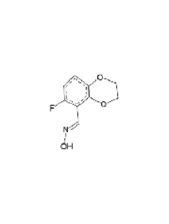 ON=Cc1c(F)ccc2c1OCCO2